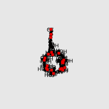 CN[C@H](CSCC1O[C@H]2O[C@@H]3C(CO)O[C@H](O[C@@H]4C(CO)O[C@H](O[C@@H]5C(CO)O[C@H](O[C@@H]6C(CSC[C@@H](CC(=O)CCOCCOCCC(C)=O)C(=O)O)O[C@H](O[C@@H]7C(CO)C[C@@H](O[C@@H]8C(CO)O[C@@H](O[C@H]1[C@H](O)C2O)C(O)[C@H]8O)C(O)[C@H]7O)C(O)[C@H]6O)C(O)[C@H]5O)C(O)[C@H]4O)C(O)[C@H]3O)C(=O)O